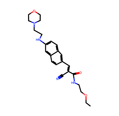 CCOCCNC(=O)/C(C#N)=C/c1ccc2cc(NCCN3CCOCC3)ccc2c1